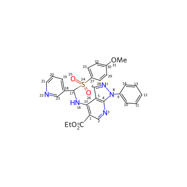 CCOC(=O)c1cnc2c(cnn2-c2ccccc2)c1NC(c1cccnc1)S(=O)(=O)c1ccc(OC)cc1